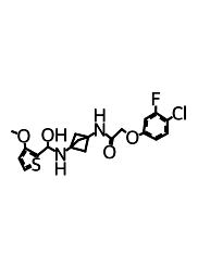 COc1ccsc1C(O)NC12CC(NC(=O)COc3ccc(Cl)c(F)c3)(C1)C2